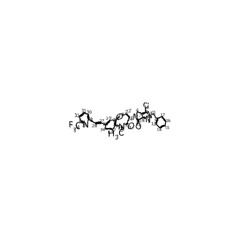 CN1C(=O)[C@@H](N2Cc3c(nn(Cc4ccccc4)c3Cl)C2=O)COc2cc(C#Cc3cccc(C(F)(F)F)n3)ccc21